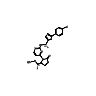 C[C@H](Nc1nccc(N2C(=O)OCC2[C@H](C)OC(C)(C)C)n1)c1cnc(-c2ccc(Cl)cc2)s1